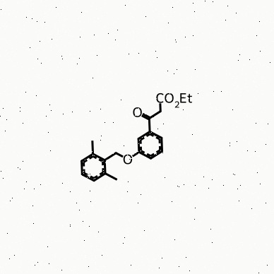 CCOC(=O)CC(=O)c1cccc(OCc2c(C)cccc2C)c1